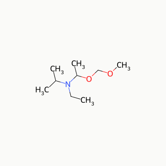 CCN(C(C)C)C(C)OCOC